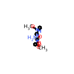 COCCCn1c(C2CCCN(C(=O)[C@@H]3CN(C(=O)c4ccccc4C(=O)OC)C[C@H]3N)C2)nc2ccccc21